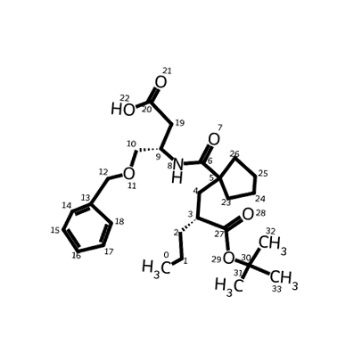 CCC[C@H](CC1(C(=O)N[C@H](COCc2ccccc2)CC(=O)O)CCCC1)C(=O)OC(C)(C)C